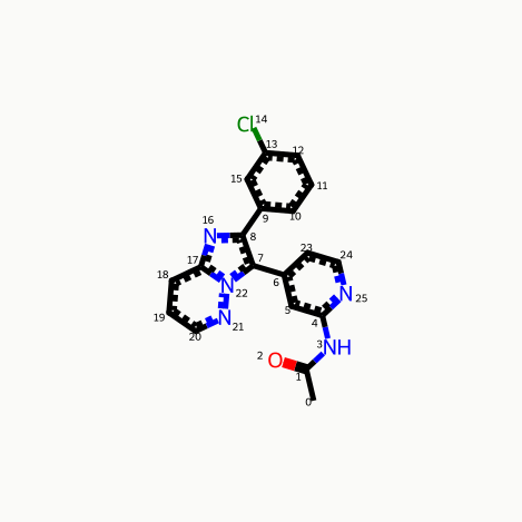 CC(=O)Nc1cc(-c2c(-c3cccc(Cl)c3)nc3cccnn23)ccn1